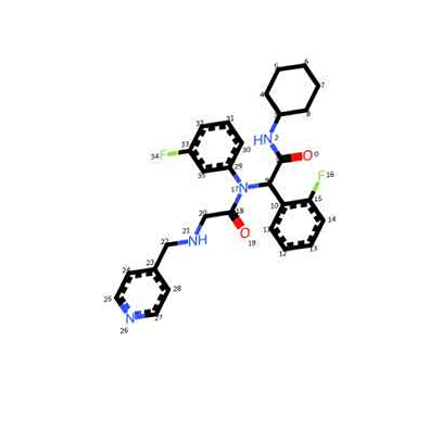 O=C(NC1CCCCC1)C(c1ccccc1F)N(C(=O)CNCc1ccncc1)c1cccc(F)c1